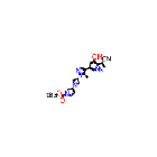 Cc1c(-c2cc(O)c3c(C#N)cnn3c2)cnn1C1CN([C@@H]2CCN(C(=O)OC(C)(C)C)C2)C1